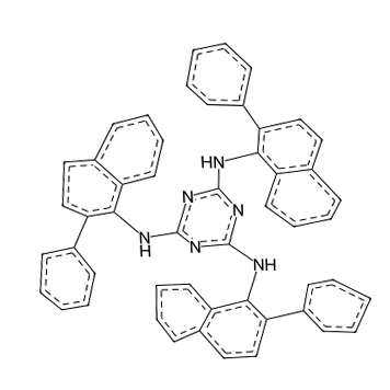 c1ccc(-c2ccc3ccccc3c2Nc2nc(Nc3c(-c4ccccc4)ccc4ccccc34)nc(Nc3c(-c4ccccc4)ccc4ccccc34)n2)cc1